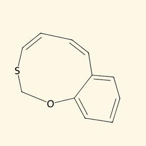 C1=CSCOc2ccccc2C=C1